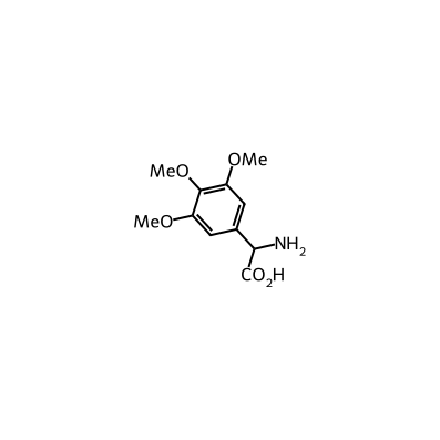 COc1cc(C(N)C(=O)O)cc(OC)c1OC